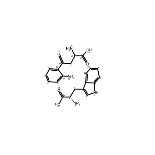 N[C@@H](Cc1c[nH]c2ccccc12)C(=O)O.Nc1ccccc1C(=O)CC(N)C(=O)O